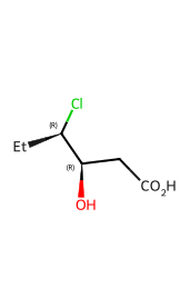 CC[C@@H](Cl)[C@H](O)CC(=O)O